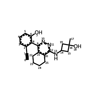 C#Cc1cccc(O)c1-c1nnc(NC2CC(C)(O)C2)c2c1CCCC2